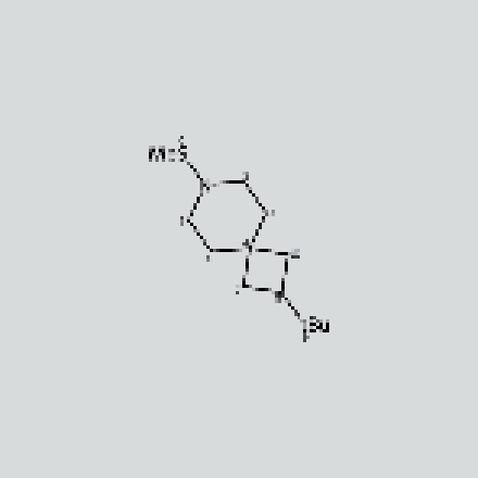 CSN1CCC2(CC1)CC(C(C)(C)C)C2